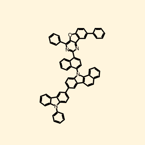 c1ccc(-c2ccc3oc4c(-c5ccccc5)nc(-c5ccc(-n6c7ccc(-c8ccc9c(c8)c8ccccc8n9-c8ccccc8)cc7c7ccc8ccccc8c76)c6ccccc56)nc4c3c2)cc1